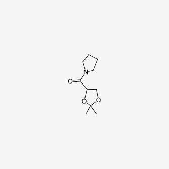 CC1(C)OCC(C(=O)N2CCCC2)O1